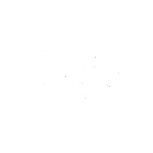 CCCCOc1cc(Br)c(N2CCCC2)c2c1C(=O)C1=C(O)[C@]3(O[Si](C)(C)C(C)(C)C)C(=O)c4c(OCCCC)noc4[C@@H](N(C)C)[C@@H]3C[C@@H]1C2